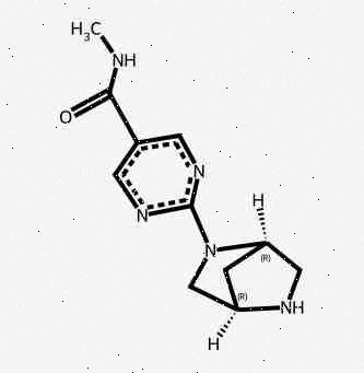 CNC(=O)c1cnc(N2C[C@H]3C[C@@H]2CN3)nc1